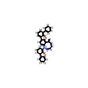 C=C1/C=C\C=C/N(C2=C3Sc4ccccc4C3CC=C2)c2ccc3c(sc4c(-c5ccccc5)cccc43)c21